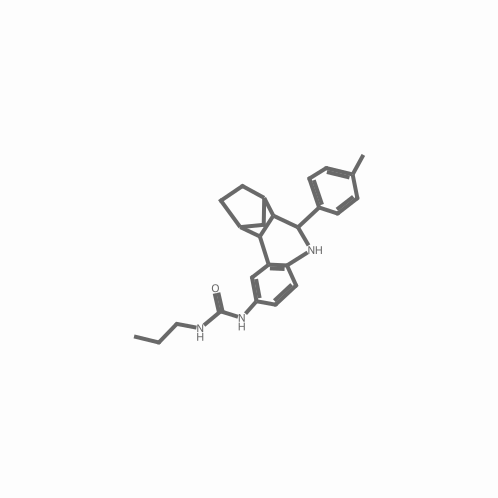 CCCNC(=O)Nc1ccc2c(c1)C1C3CCC(C3)C1C(c1ccc(C)cc1)N2